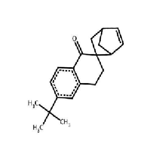 CC(C)(C)c1ccc2c(c1)CCC1(CC3C=CC1C3)C2=O